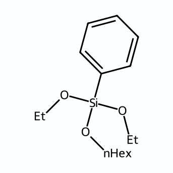 CCCCCCO[Si](OCC)(OCC)c1ccccc1